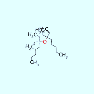 C=CC(CC)(CCCCC)OC(C=C)(CC)CCCCC